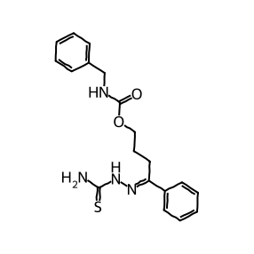 NC(=S)NN=C(CCCOC(=O)NCc1ccccc1)c1ccccc1